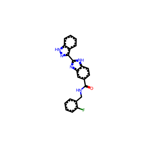 O=C(NCc1ccccc1F)c1ccc2[nH]c(-c3n[nH]c4ccccc34)nc2c1